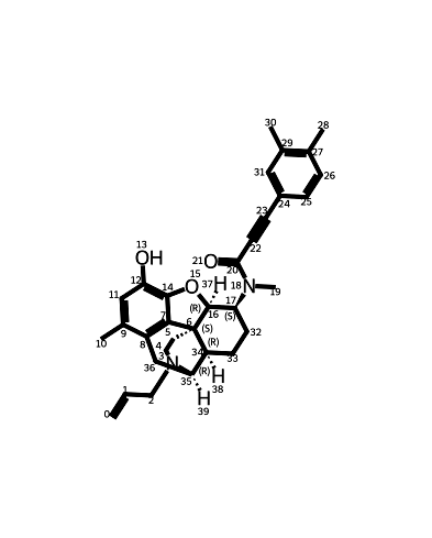 C=CCN1CC[C@]23c4c5c(C)cc(O)c4O[C@H]2[C@@H](N(C)C(=O)C#Cc2ccc(C)c(C)c2)CC[C@H]3[C@H]1C5